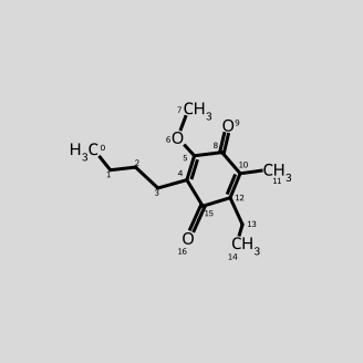 CCCCC1=C(OC)C(=O)C(C)=C(CC)C1=O